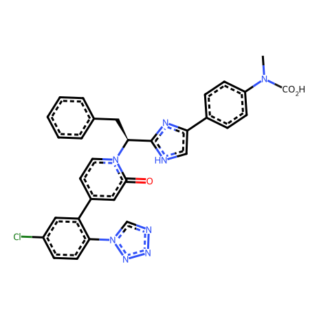 CN(C(=O)O)c1ccc(-c2c[nH]c([C@H](Cc3ccccc3)n3ccc(-c4cc(Cl)ccc4-n4cnnn4)cc3=O)n2)cc1